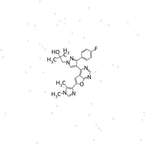 Cc1c(-c2cc3c(-c4cn(CC(C)(C)O)nc4-c4ccc(F)cc4)ncnc3o2)ncn1C